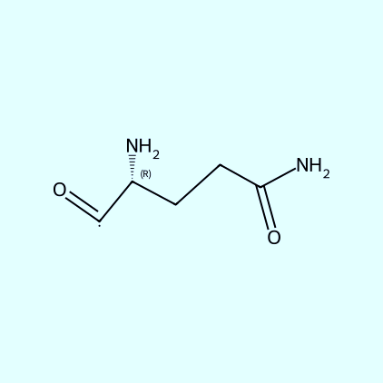 NC(=O)CC[C@@H](N)[C]=O